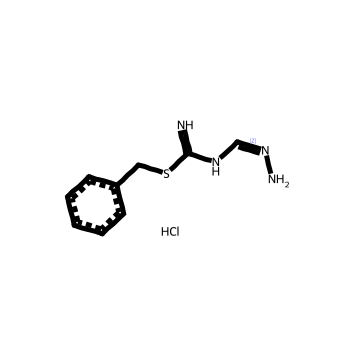 Cl.N=C(N/C=N\N)SCc1ccccc1